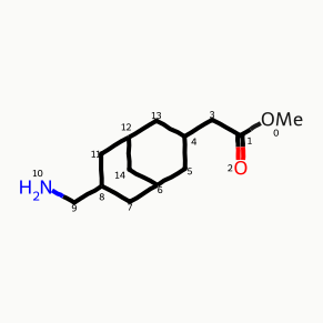 COC(=O)CC1CC2CC(CN)CC(C1)C2